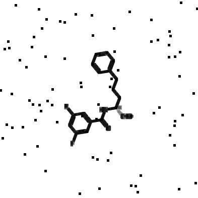 O=[C][C@@H](CCCc1ccccc1)NC(=O)c1cc(F)cc(F)c1